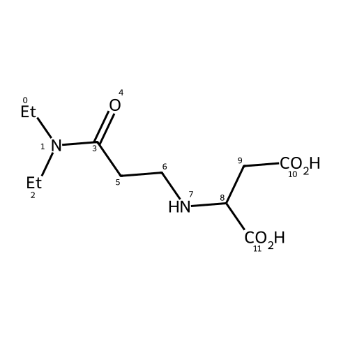 CCN(CC)C(=O)CCNC(CC(=O)O)C(=O)O